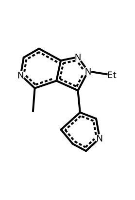 CCn1nc2ccnc(C)c2c1-c1cccnc1